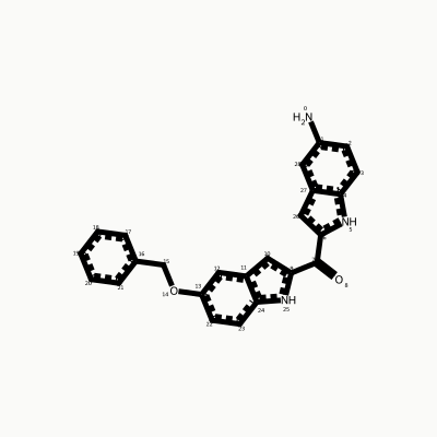 Nc1ccc2[nH]c(C(=O)c3cc4cc(OCc5ccccc5)ccc4[nH]3)cc2c1